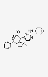 CCC1(C)c2cnc(NC3CCOCC3)nc2C(C(=O)OC)N1CC(=O)c1ccccc1